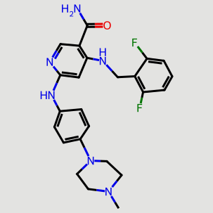 CN1CCN(c2ccc(Nc3cc(NCc4c(F)cccc4F)c(C(N)=O)cn3)cc2)CC1